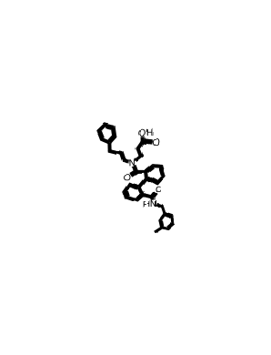 Cc1cccc(CNC(=O)c2ccccc2-c2ccccc2C(=O)N(CCCc2ccccc2)CCC(=O)O)c1